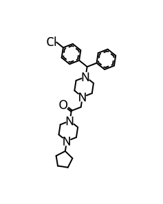 O=C(CN1CCN(C(c2ccccc2)c2ccc(Cl)cc2)CC1)N1CCN(C2CCCC2)CC1